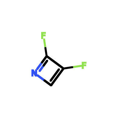 FC1=CN=C1F